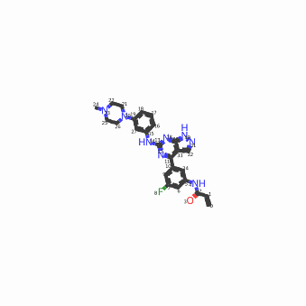 C=CC(=O)Nc1cc(F)cc(-c2nc(Nc3cccc(N4CCN(C)CC4)c3)nc3[nH]ncc23)c1